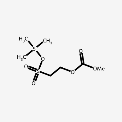 COC(=O)OCCS(=O)(=O)O[Si](C)(C)C